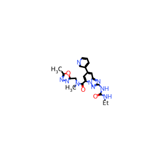 CCNC(=O)Nc1nc2cc(-c3cccnc3)cc(C(=O)N(C)Cc3nnc(C)o3)n2n1